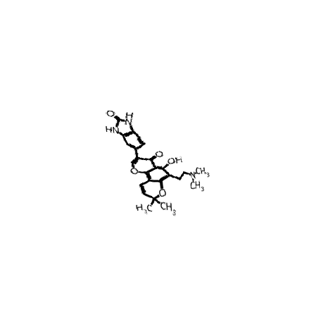 CN(C)CCc1c2c(c3occ(-c4ccc5[nH]c(=O)[nH]c5c4)c(=O)c3c1O)C=CC(C)(C)O2